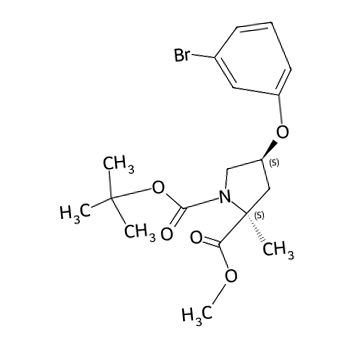 COC(=O)[C@]1(C)C[C@H](Oc2cccc(Br)c2)CN1C(=O)OC(C)(C)C